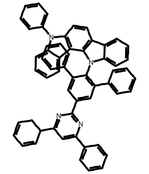 C1=CCC(c2cc(-c3ccccc3)nc(-c3cc(-c4ccccc4)c(-n4c5ccccc5c5ccc6c(c7ccccc7n6-c6ccccc6)c54)c(-c4ccccc4)c3)n2)C=C1